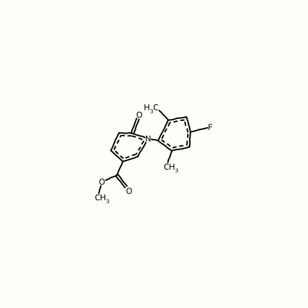 COC(=O)c1ccc(=O)n(-c2c(C)cc(F)cc2C)c1